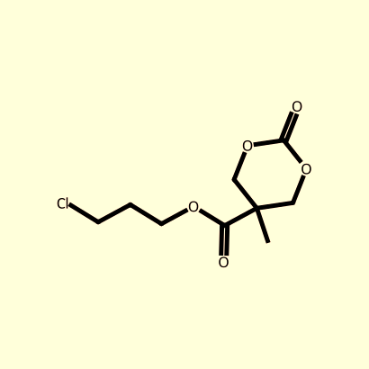 CC1(C(=O)OCCCCl)COC(=O)OC1